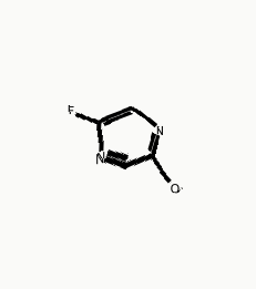 [O]c1cnc(F)cn1